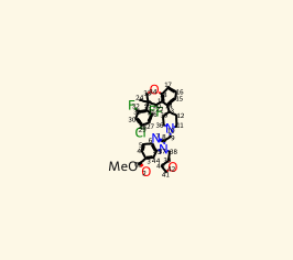 COC(=O)c1ccc2nc(CN3CCC(c4cccc5c4C(F)(F)C(C)(c4ccc(Cl)cc4F)CO5)CC3)n(CC3CCO3)c2c1